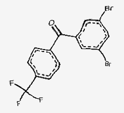 O=C(c1ccc(C(F)(F)F)cc1)c1cc(Br)cc(Br)c1